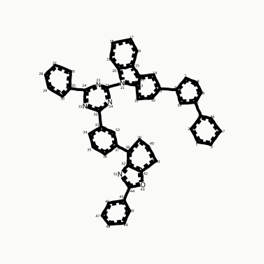 c1ccc(-c2cccc(-c3ccc4c(c3)c3ccccc3n4-c3nc(-c4ccccc4)nc(-c4cccc(-c5cccc6oc(-c7ccccc7)nc56)c4)n3)c2)cc1